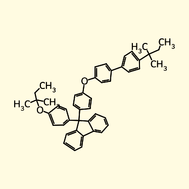 CCC(C)(C)Oc1ccc(C2(c3ccc(Oc4ccc(-c5ccc(C(C)(C)CC)cc5)cc4)cc3)c3ccccc3-c3ccccc32)cc1